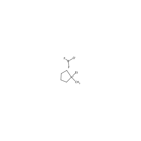 CC[N+]1(C)CCCC1.[O-]B(F)F